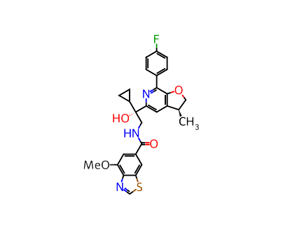 COc1cc(C(=O)NC[C@](O)(c2cc3c(c(-c4ccc(F)cc4)n2)OC[C@H]3C)C2CC2)cc2scnc12